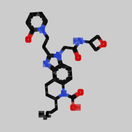 CCC1CCc2c(ccc3c2nc(CCn2ccccc2=O)n3CC(=O)NC2COC2)N1C(=O)O